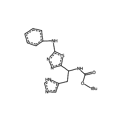 CC(C)(C)OC(=O)NC(Cc1cnc[nH]1)c1nnc(Nc2ccccc2)s1